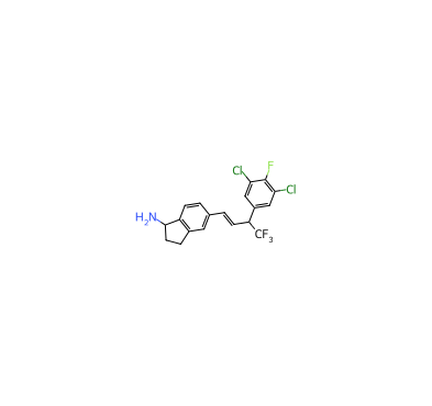 NC1CCc2cc(C=CC(c3cc(Cl)c(F)c(Cl)c3)C(F)(F)F)ccc21